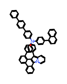 c1ccc(-c2ccc(-c3ccc(N(c4ccc(-c5cccc6ccccc56)cc4)c4ccc(-c5cccc6c7ccccc7c7c(c(-c8ccccc8)c8ccccn87)c56)cc4)cc3)cc2)cc1